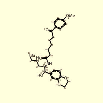 COc1ccc(C(=O)CCCCCC(=O)N[C@H](CNCC(C)(C)C)[C@H](O)c2ccc3c(c2)OCCO3)cc1